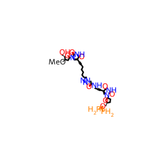 CO[C@@H]1C[C@H](n2cc(C#CCCCCc3cn(CC(=O)NCC#Cc4cn([C@H]5CC[C@@H](COP(P)P)O5)c(=O)[nH]c4=O)nn3)c(=O)[nH]c2=O)O[C@@H]1CO